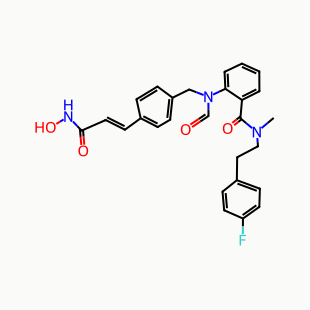 CN(CCc1ccc(F)cc1)C(=O)c1ccccc1N(C=O)Cc1ccc(/C=C/C(=O)NO)cc1